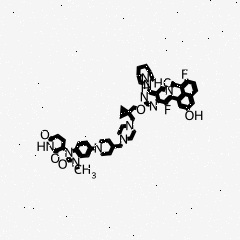 C#Cc1c(F)ccc2cc(O)cc(-c3ncc4c(N5CC6CCC(C5)N6)nc(OCC5(CN6CCN(CC7CCN(c8ccc9c(c8)n(C)c(=O)n9C8CCC(=O)NC8=O)CC7)CC6)CC5)nc4c3F)c12